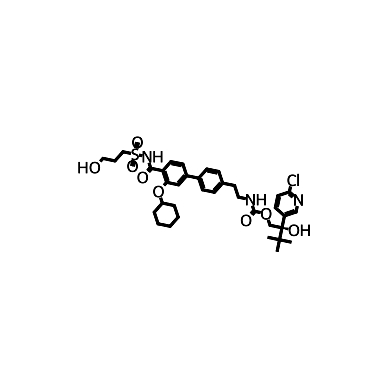 CC(C)(C)[C@](O)(COC(=O)NCCc1ccc(-c2ccc(C(=O)NS(=O)(=O)CCCO)c(OC3CCCCC3)c2)cc1)c1ccc(Cl)nc1